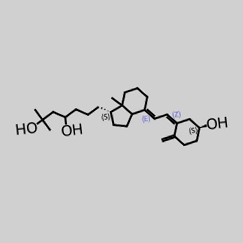 C=C1CC[C@H](O)C/C1=C/C=C1\CCCC2(C)C1CC[C@@H]2CCCC(O)CC(C)(C)O